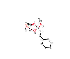 CCO[Si](CCC1CCCCC1)(OCC)OC1CO1